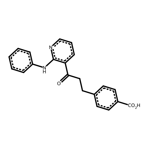 O=C(O)c1ccc(CCC(=O)c2cccnc2Nc2ccccc2)cc1